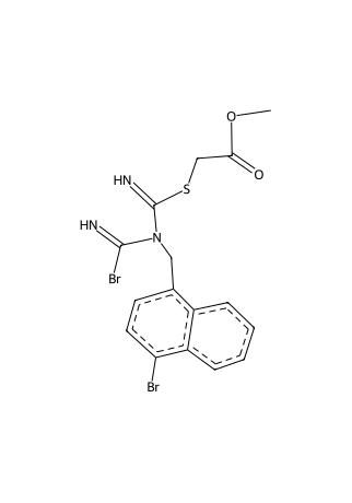 COC(=O)CSC(=N)N(Cc1ccc(Br)c2ccccc12)C(=N)Br